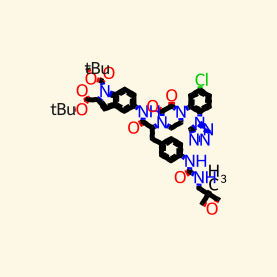 CC1(CNC(=O)Nc2ccc(CC(C(=O)Nc3ccc4c(c3)cc(C(=O)OC(C)(C)C)n4C(=O)OC(C)(C)C)N3CCN(c4cc(Cl)ccc4-n4cnnn4)C(=O)C3=O)cc2)COC1